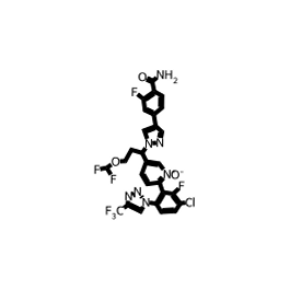 NC(=O)c1ccc(-c2cnn(C(CCOC(F)F)c3ccc(-c4c(-n5cc(C(F)(F)F)nn5)ccc(Cl)c4F)[n+]([O-])c3)c2)cc1F